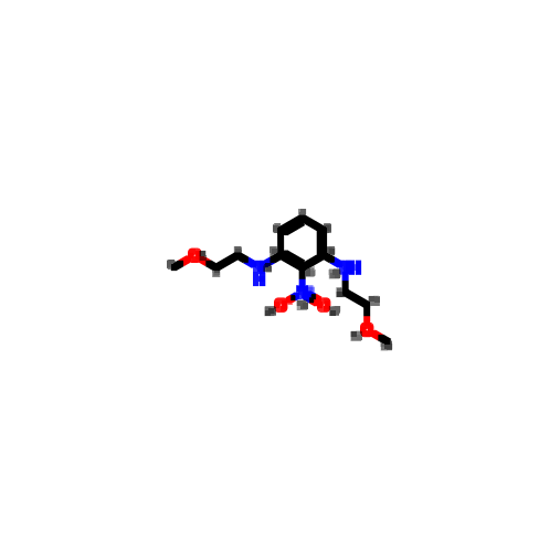 COCCNc1cccc(NCCOC)c1[N+](=O)[O-]